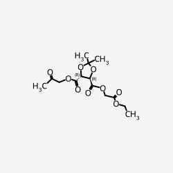 CCOC(=O)COC(=O)[C@@H]1OC(C)(C)O[C@H]1C(=O)OCC(C)=O